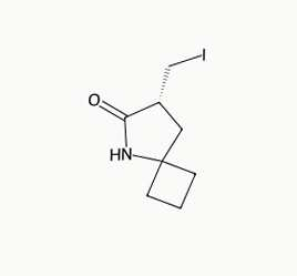 O=C1NC2(CCC2)C[C@H]1CI